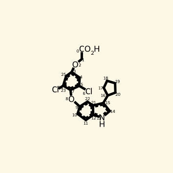 O=C(O)COc1cc(Cl)c(Oc2ccc3[nH]cc(C4CCCC4)c3c2)c(Cl)c1